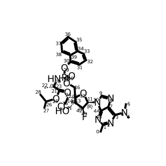 Cc1nc(N(C)C)c2ncn([C@@H]3O[C@](CCl)(CO[P@@](=O)(N[C@@H](C)C(=O)OC(C)C)Oc4cccc5ccccc45)[C@@H](O)[C@@H]3F)c2n1